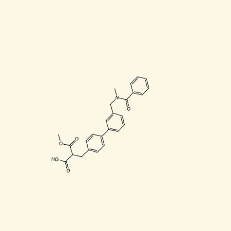 COC(=O)C(Cc1ccc(-c2cccc(CN(C)C(=O)c3ccccc3)c2)cc1)C(=O)O